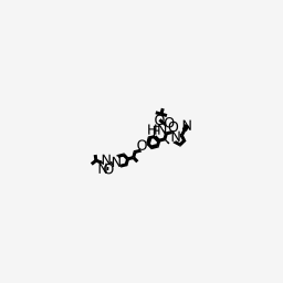 CC(C)c1noc(N2CCC(C(C)CCOc3ccc([C@H](C)[C@H](NC(=O)OC(C)(C)C)C(=O)N4CCCC4C#N)c(F)c3)CC2)n1